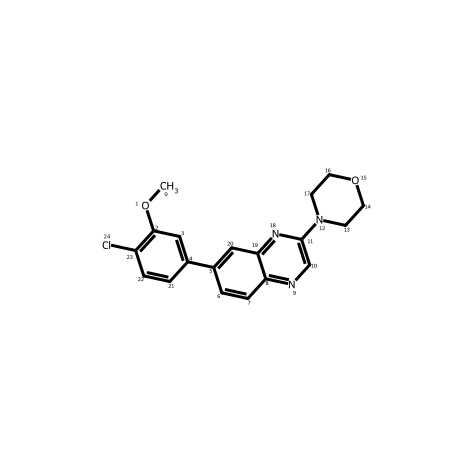 COc1cc(-c2ccc3ncc(N4CCOCC4)nc3c2)ccc1Cl